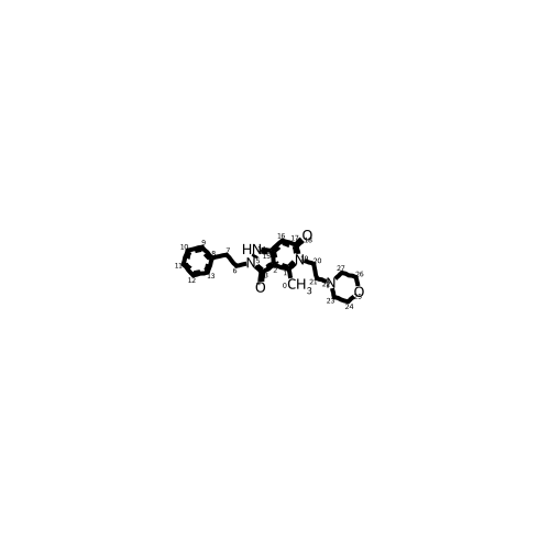 Cc1c2c(=O)n(CCc3ccccc3)[nH]c2cc(=O)n1CCN1CCOCC1